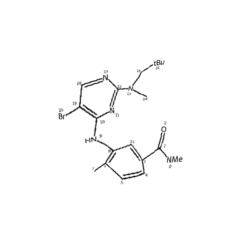 CNC(=O)c1ccc(C)c(Nc2nc(N(C)CC(C)(C)C)ncc2Br)c1